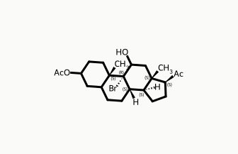 CC(=O)OC1CC[C@@]2(C)C(CC[C@H]3[C@@H]4CC[C@H](C(C)=O)[C@@]4(C)CC(O)[C@@]32Br)C1